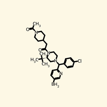 Bc1ccc(C(c2ccc(Cl)cc2)N2CCN(C(=O)CC3CCN(C(C)=O)CC3)[C@@H](C(C)(C)C)C2)nc1